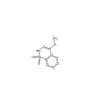 COC1=CNS(=O)(=O)c2ccccc21